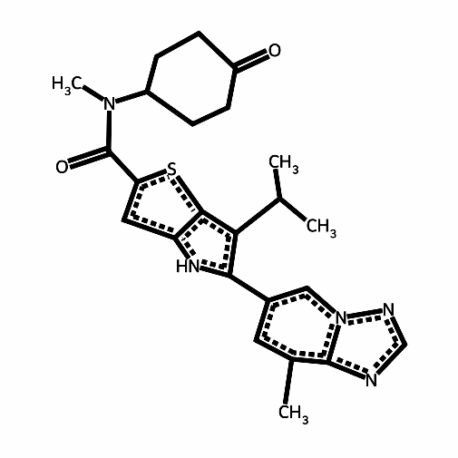 Cc1cc(-c2[nH]c3cc(C(=O)N(C)C4CCC(=O)CC4)sc3c2C(C)C)cn2ncnc12